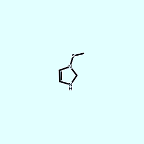 CSN1C=CNC1